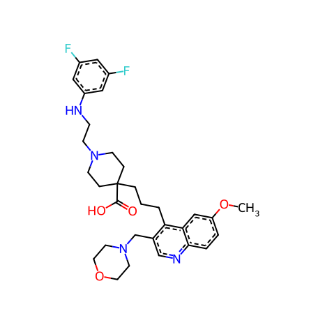 COc1ccc2ncc(CN3CCOCC3)c(CCCC3(C(=O)O)CCN(CCNc4cc(F)cc(F)c4)CC3)c2c1